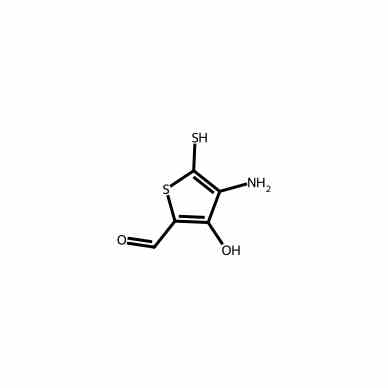 Nc1c(S)sc(C=O)c1O